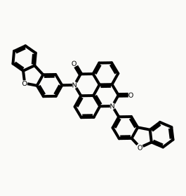 O=c1c2cccc3c(=O)n(-c4ccc5oc6ccccc6c5c4)c4cccc(c4c23)n1-c1ccc2oc3ccccc3c2c1